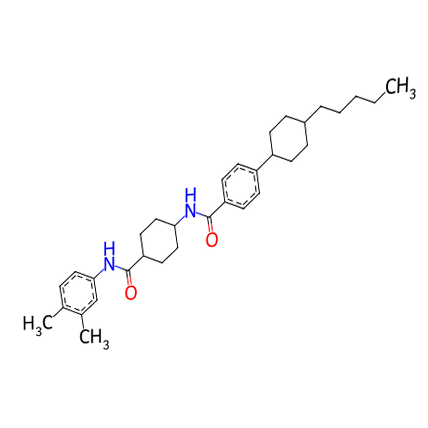 CCCCCC1CCC(c2ccc(C(=O)NC3CCC(C(=O)Nc4ccc(C)c(C)c4)CC3)cc2)CC1